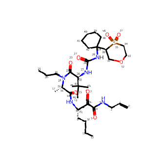 C=CCNC(=O)C(=O)[C@H](CCCC)NC(=O)[C@H](C)N(CCC)C(=O)[C@@H](NC(=O)NC1(C2COCCS2(=O)=O)CCCCC1)C(C)(C)C